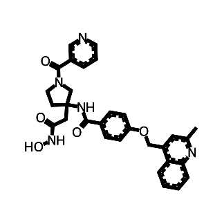 Cc1cc(COc2ccc(C(=O)NC3(CC(=O)NO)CCN(C(=O)c4cccnc4)C3)cc2)c2ccccc2n1